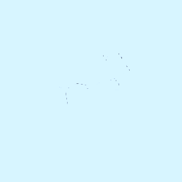 O=Cc1c(F)cc(F)cc1-c1nnn[nH]1